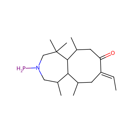 C/C=C1\CC(C)C2C(C)CN(P)CC(C)(C)C2C(C)CC1=O